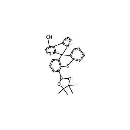 CC1(C)OB(c2cccc3c2Sc2ccccc2C32c3ccccc3-c3c(C#N)cccc32)OC1(C)C